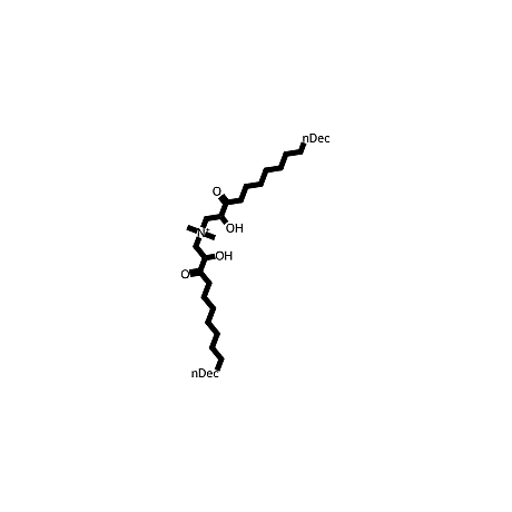 CCCCCCCCCCCCCCCCCC(=O)C(O)C[N+](C)(C)CC(O)C(=O)CCCCCCCCCCCCCCCCC